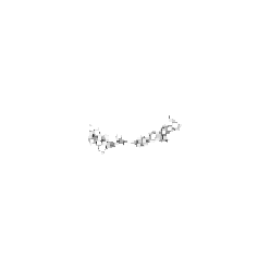 C=C1CCC(N2C(=O)c3cccc(N4CC(C(=O)NCCCCN5CCN(c6ccc(C7CN(Cc8c(C)cccc8F)CC7N(C)C)cc6)CC5)C4)c3C2=O)C(=O)N1